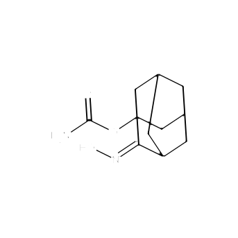 NC(=O)OC12CC3CC(CC(C3)C1=NO)C2